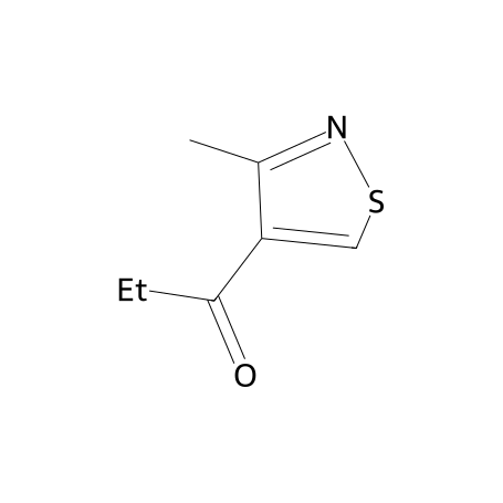 CCC(=O)c1csnc1C